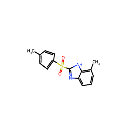 Cc1ccc(S(=O)(=O)c2nc3cccc(C)c3[nH]2)cc1